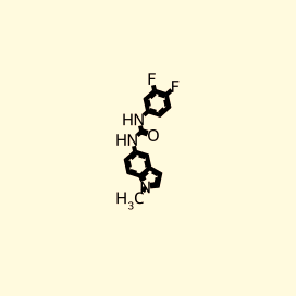 Cn1ccc2cc(NC(=O)Nc3ccc(F)c(F)c3)ccc21